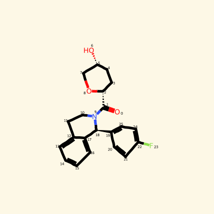 O=C([C@H]1CC[C@@H](O)CO1)N1CCc2ccccc2[C@@H]1c1ccc(F)cc1